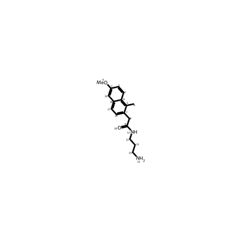 COc1ccc2c(C)c(CC(=O)NCCCN)ccc2c1